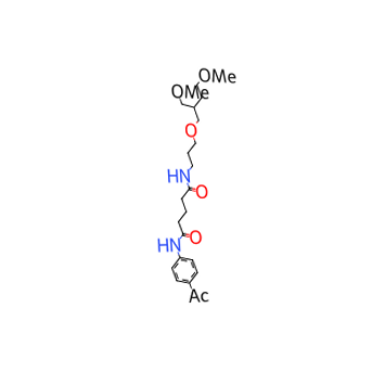 COCCC(COC)COCCCNC(=O)CCCC(=O)Nc1ccc(C(C)=O)cc1